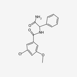 COc1cc(Cl)cc(C(=O)NC(C(N)=O)c2ccccc2)c1